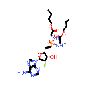 CCCCOC(=O)CNP(=O)(/C=C/[C@H]1O[C@@H](n2cnc3c(N)ncnc32)[C@H](F)[C@@H]1O)N[C@@H](C)C(=O)OCCCC